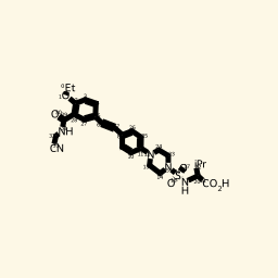 CCOc1ccc(C#Cc2ccc(N3CCN(S(=O)(=O)NC(C(=O)O)C(C)C)CC3)cc2)cc1C(=O)NCC#N